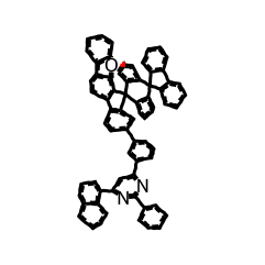 c1ccc(-c2nc(-c3cccc(-c4ccc5c(c4)C4(c6ccccc6C6(c7ccccc7-c7ccccc76)c6ccccc64)c4c-5ccc5c4oc4ccccc45)c3)cc(-c3cccc4ccccc34)n2)cc1